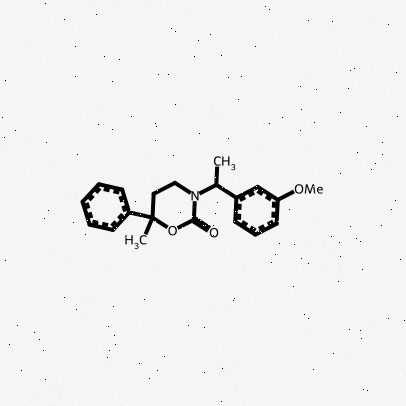 COc1cccc(C(C)N2CCC(C)(c3ccccc3)OC2=O)c1